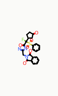 O=C1CCC(C(F)(c2nc(CN3C(=O)c4ccccc4C3=O)no2)S(=O)(=O)c2ccccc2)C1